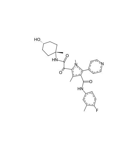 Cc1cc(NC(=O)c2c(C)c(C(=O)C(=O)N[C@]3(C)CC[C@H](O)CC3)n(C)c2-c2ccncc2)ccc1F